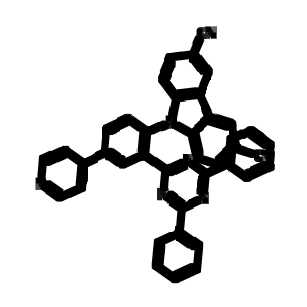 N#Cc1ccc2c(c1)c1cc(C#N)ccc1n2-c1ccc(-c2ccncc2)cc1-c1nc(-c2ccccc2)nc(-c2ccccc2)n1